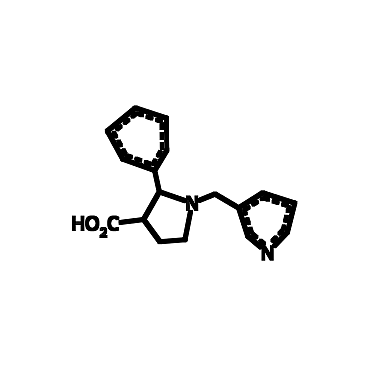 O=C(O)C1CCN(Cc2cccnc2)C1c1ccccc1